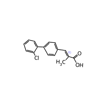 C/C(=C\c1ccc(-c2ccccc2Cl)cc1)C(=O)O